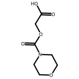 O=C(O)COC(=O)N1CCOCC1